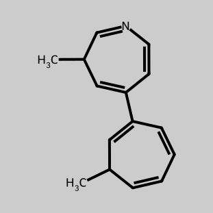 CC1C=CC=CC(C2=CC(C)C=NC=C2)=C1